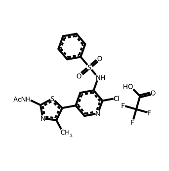 CC(=O)Nc1nc(C)c(-c2cnc(Cl)c(NS(=O)(=O)c3ccccc3)c2)s1.O=C(O)C(F)(F)F